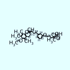 CCOc1c(C)c(C)c2c(c1C)CC[C@@](C)(CCCc1cccc(OCCCC(C)(C)C(=O)O)c1)O2